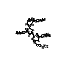 CCOC(=O)CN(CCN(CCN(CC(C)=O)CC(=O)OC)CC(=O)OC)CC(=O)OC